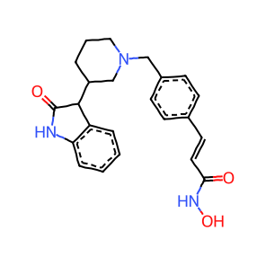 O=C(C=Cc1ccc(CN2CCCC(C3C(=O)Nc4ccccc43)C2)cc1)NO